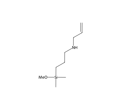 C=CCNCCC[Si](C)(C)OC